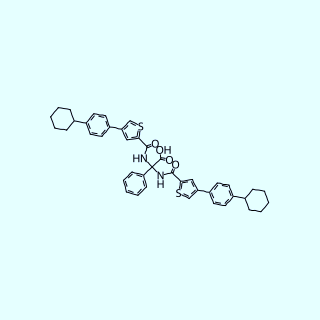 O=C(NC(NC(=O)c1cc(-c2ccc(C3CCCCC3)cc2)cs1)(C(=O)O)c1ccccc1)c1cc(-c2ccc(C3CCCCC3)cc2)cs1